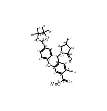 COC(=O)c1cc(Oc2ccc(B3OC(C)(C)C(C)(C)O3)cc2)c(CN2CC(C)CC2=O)cc1F